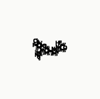 Cn1cc(C(c2ccc(Cl)c(F)c2)n2ccc(-c3ccnc(NC4CCOCC4F)n3)cc2=O)cn1